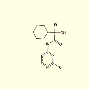 CCC(O)(C(=O)Nc1ccnc(Br)c1)C1CCCCC1